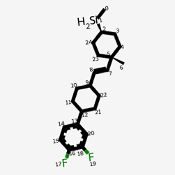 C[SiH2][C@H]1CC[C@](C)(C=CC2CCC(c3ccc(F)c(F)c3)CC2)CC1